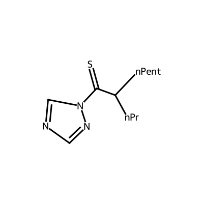 CCCCCC(CCC)C(=S)n1cncn1